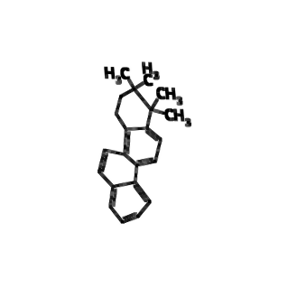 CC1(C)CCc2c(ccc3c2ccc2ccccc23)C1(C)C